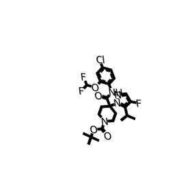 CC(C)c1c(F)cnn1C1(C(=O)Nc2ccc(Cl)cc2OC(F)F)CCN(C(=O)OC(C)(C)C)CC1